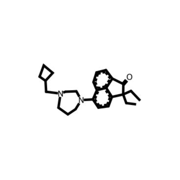 CCC1(CC)C(=O)c2cccc3c(N4CCCN(CC5CCC5)CC4)ccc1c23